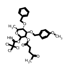 COc1ccc(CO[C@@H]2[C@@H](OCc3ccccc3)[C@H](C)OC(OC(=N)C(Cl)(Cl)Cl)[C@@H]2OC(=O)CCC(C)=O)cc1